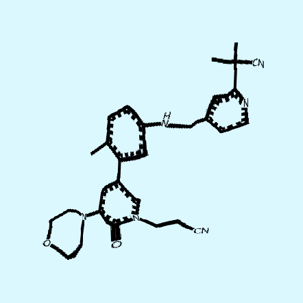 Cc1ccc(NCc2ccnc(C(C)(C)C#N)c2)cc1-c1cc(N2CCOCC2)c(=O)n(CCC#N)c1